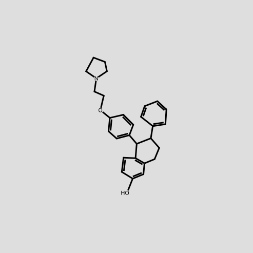 Oc1ccc2c(c1)CCC(c1ccccc1)C2c1ccc(OCCN2CCCC2)cc1